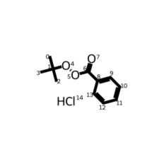 CC(C)(C)OOC(=O)c1ccccc1.Cl